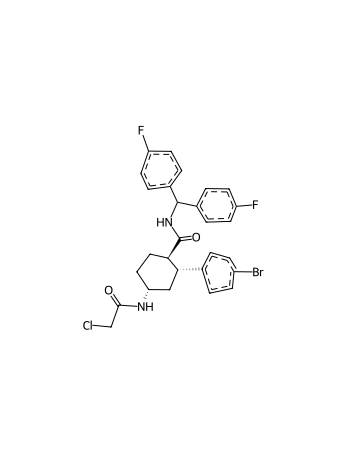 O=C(CCl)N[C@@H]1CC[C@@H](C(=O)NC(c2ccc(F)cc2)c2ccc(F)cc2)[C@H](c2ccc(Br)cc2)C1